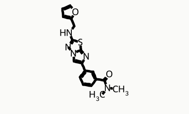 CN(C)C(=O)c1cccc(-c2cn3nc(NCc4ccco4)sc3n2)c1